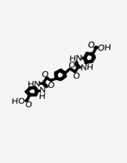 O=C(O)c1ccc2c(c1)NC1=C(N2)C(=O)C(c2ccc(C3OC4=C(Nc5ccc(C(=O)O)cc5N4)C3=O)cc2)O1